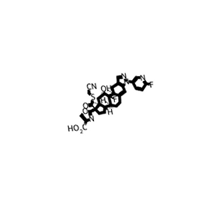 C[C@]12Cc3cnn(-c4ccc(F)nc4)c3C=C1CC[C@H]1[C@@H]3CC[C@](C(=O)SCC#N)(c4nc(C(=O)O)co4)[C@@]3(C)C[C@H](O)[C@@]12F